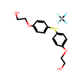 F[B-](F)(F)F.OCCOc1ccc([SH+]c2ccc(OCCO)cc2)cc1